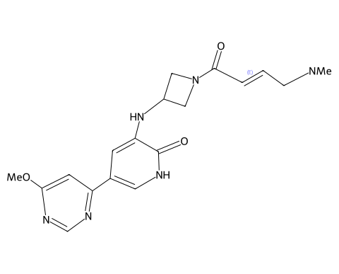 CNC/C=C/C(=O)N1CC(Nc2cc(-c3cc(OC)ncn3)c[nH]c2=O)C1